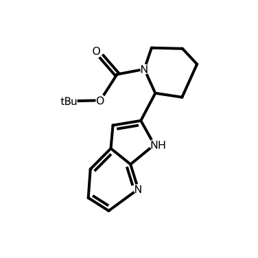 CC(C)(C)OC(=O)N1CCCCC1c1cc2cccnc2[nH]1